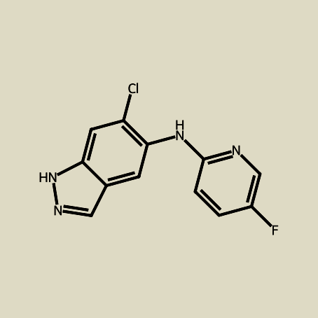 Fc1ccc(Nc2cc3cn[nH]c3cc2Cl)nc1